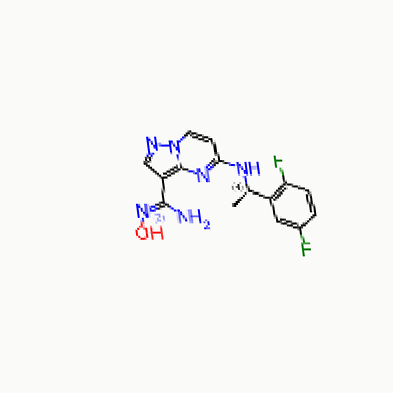 C[C@@H](Nc1ccn2ncc(/C(N)=N/O)c2n1)c1cc(F)ccc1F